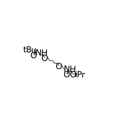 CC(C)OCC(=O)NCCOCCCCCOCCNC(=O)C(C)(C)C